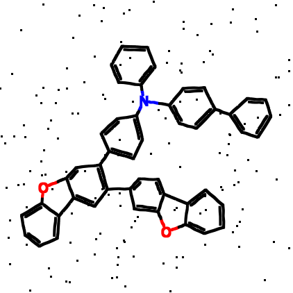 c1ccc(-c2ccc(N(c3ccccc3)c3ccc(-c4cc5oc6ccccc6c5cc4-c4ccc5c(c4)oc4ccccc45)cc3)cc2)cc1